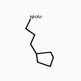 CC(=O)[N]CCCC1CCCC1